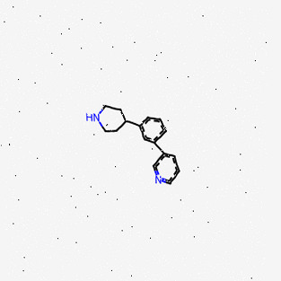 c1cncc(-c2cccc(C3CCNCC3)c2)c1